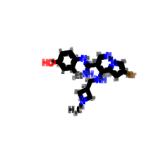 CCc1cc(O)ccc1/N=C(\N)c1cnn2cc(Br)cc2c1NCC1CN(C)C1